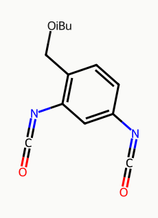 CC(C)COCc1ccc(N=C=O)cc1N=C=O